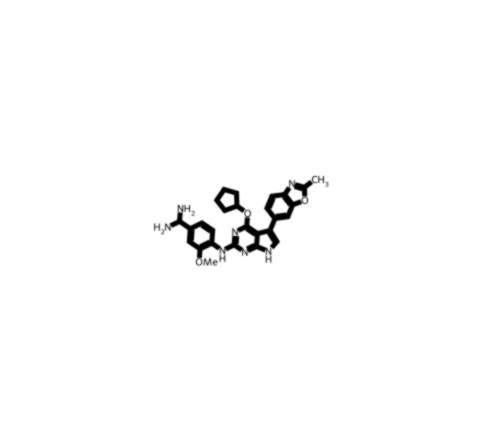 COc1cc(C(N)N)ccc1Nc1nc(OC2CCCC2)c2c(-c3ccc4nc(C)oc4c3)c[nH]c2n1